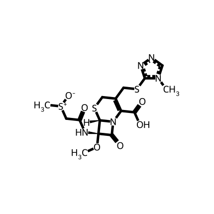 CO[C@@]1(NC(=O)C[S+](C)[O-])C(=O)N2C(C(=O)O)=C(CSc3nncn3C)CS[C@H]21